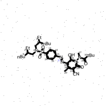 CCCCC(CC)CN(CC(CC)CCCC)S(=O)(=O)c1ccc(/N=N/c2c(C)c(C#N)c(=O)n(N(C)C(=O)C(C)(C)C)c2O)cc1